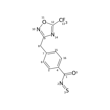 O=C(N=S)c1ccc(Cc2noc(C(F)(F)F)n2)cc1